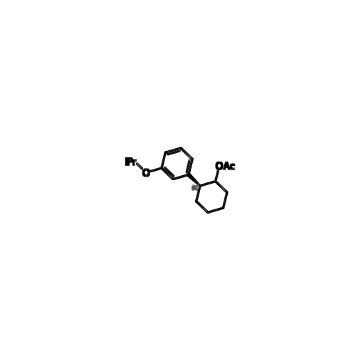 CC(=O)OC1CCCC[C@H]1c1cccc(OC(C)C)c1